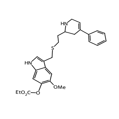 CCOC(=O)Oc1cc2[nH]cc(CSCCC3CC(c4ccccc4)=CCN3)c2cc1OC